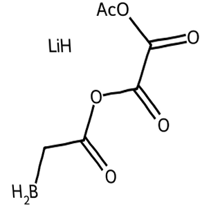 BCC(=O)OC(=O)C(=O)OC(C)=O.[LiH]